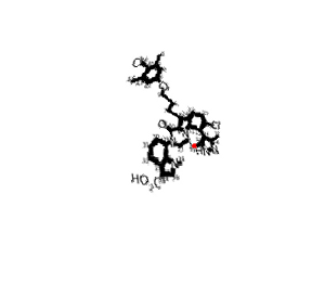 Cc1cc(OCCCc2c3n(c4c(-c5c(C)n[nH]c5C)c(Cl)ccc24)[C@H](C)CN(c2cccc4c(C(=O)O)cn(C)c24)C3=O)cc(C)c1Cl